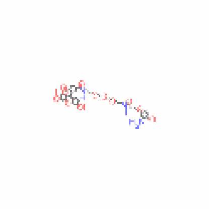 Nc1cc(OCCCC(=O)NCCCOCCOCCOCCCNC(=O)c2ccc(C(=O)O)c(-c3c4ccc(=O)cc-4oc4cc(O)ccc34)c2)ccc1C=O